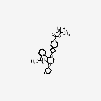 CC(C)c1ccccc1C1CN(C2CCOC2)CCN1C1CC2(CCN(C(=O)OC(C)(C)C)CC2)C1